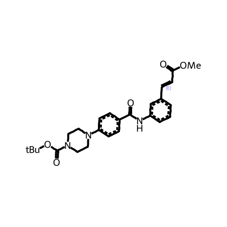 COC(=O)/C=C/c1cccc(NC(=O)c2ccc(N3CCN(C(=O)OC(C)(C)C)CC3)cc2)c1